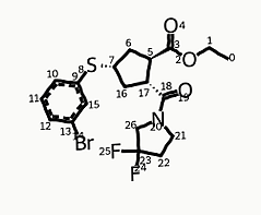 CCOC(=O)[C@@H]1C[C@@H](Sc2cccc(Br)c2)C[C@H]1C(=O)N1CCC(F)(F)C1